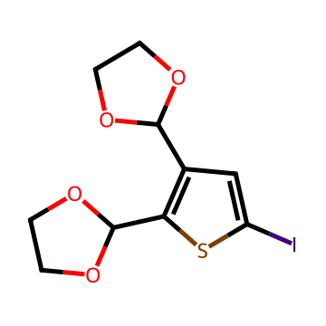 Ic1cc(C2OCCO2)c(C2OCCO2)s1